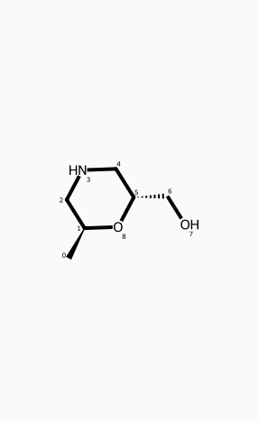 C[C@H]1CNC[C@H](CO)O1